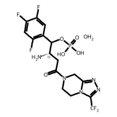 N[C@@H](CC(=O)N1CCn2c(nnc2C(F)(F)F)C1)C(OP(=O)(O)O)c1cc(F)c(F)cc1F.O